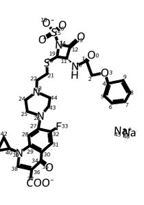 O=C(COc1ccccc1)N[C@H]1C(=O)N(S(=O)(=O)[O-])C1SCCN1CCN(c2cc3c(cc2F)c(=O)c(C(=O)[O-])cn3C2CC2)CC1.[Na+].[Na+]